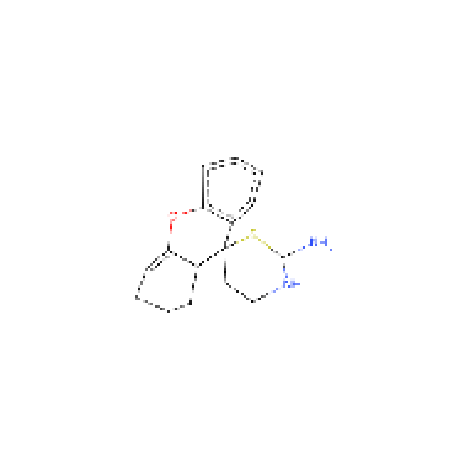 NC1NCCC2(S1)c1ccccc1OC1=CCCCC12